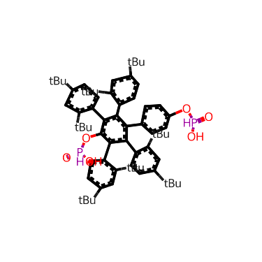 CC(C)(C)c1ccc(-c2c(O[PH](=O)O)c(-c3ccc(C(C)(C)C)cc3C(C)(C)C)c(-c3ccc(C(C)(C)C)cc3C(C)(C)C)c(-c3ccc(O[PH](=O)O)cc3)c2-c2ccc(C(C)(C)C)cc2C(C)(C)C)c(C(C)(C)C)c1